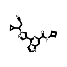 N#CCC(C1CC1)n1cc(-c2nc(C(=O)NC3=CC=C3)cc3nccn23)cn1